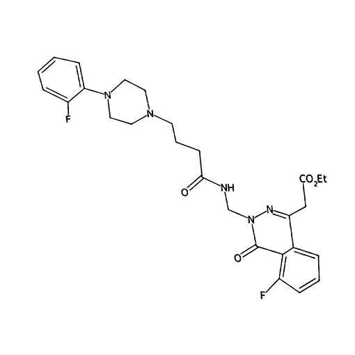 CCOC(=O)Cc1nn(CNC(=O)CCCN2CCN(c3ccccc3F)CC2)c(=O)c2c(F)cccc12